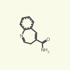 NC(=O)C1=Cc2ccccc2N=CC1